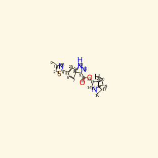 Cc1csc(-c2ccc3c(C(=O)O[C@H]4CN5CCC56CC[C@H]46)n[nH]c3c2)n1